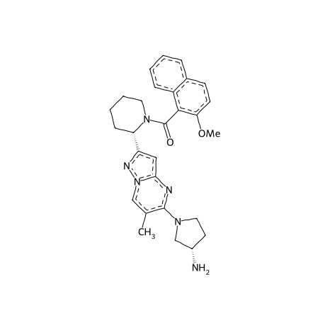 COc1ccc2ccccc2c1C(=O)N1CCCC[C@H]1c1cc2nc(N3CC[C@H](N)C3)c(C)cn2n1